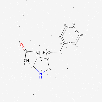 C1CCNC1.CC(C)=O.CCc1ccccc1